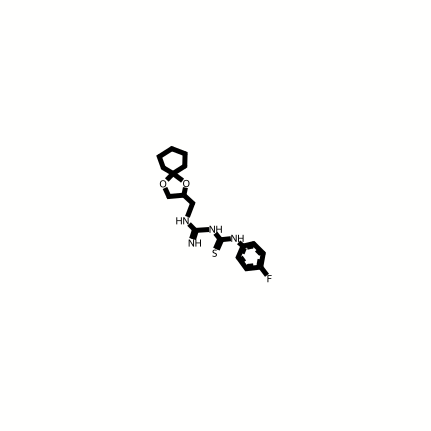 N=C(NCC1COC2(CCCCC2)O1)NC(=S)Nc1ccc(F)cc1